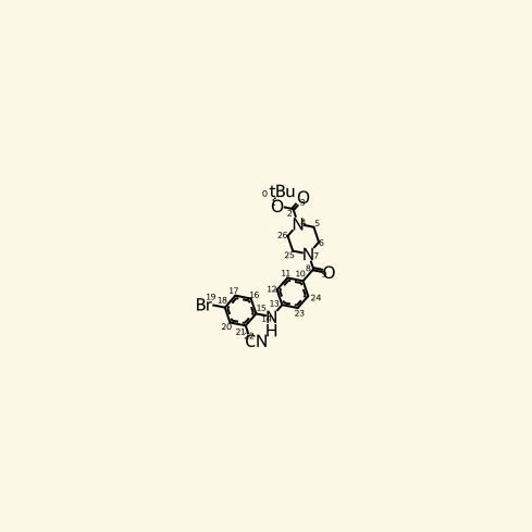 CC(C)(C)OC(=O)N1CCN(C(=O)c2ccc(Nc3ccc(Br)cc3C#N)cc2)CC1